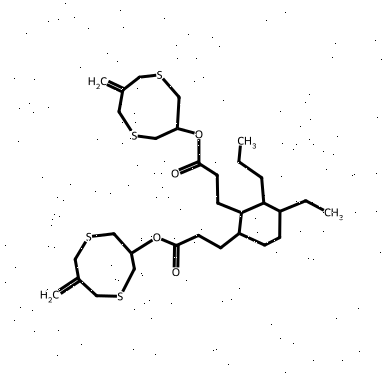 C=C1CSCC(OC(=O)CCC2CCC(CC)C(CCC)C2CCC(=O)OC2CSCC(=C)CSC2)CSC1